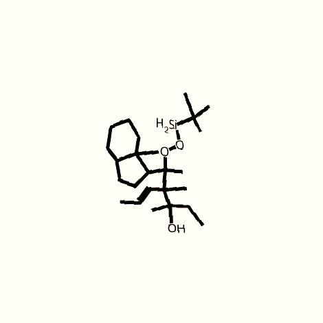 CC=CC(C)(C(C)(O)CC)C(C)(OO[SiH2]C(C)(C)C)C1CCC2CCCCC21C